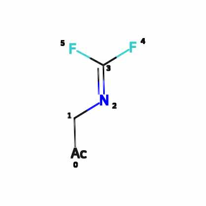 CC(=O)CN=C(F)F